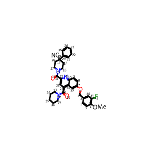 COc1ccc(COc2ccc3nc(C(=O)N4CCC(C#N)(c5ccccc5)CC4)cc(C(=O)N4CCCCC4)c3c2)cc1F